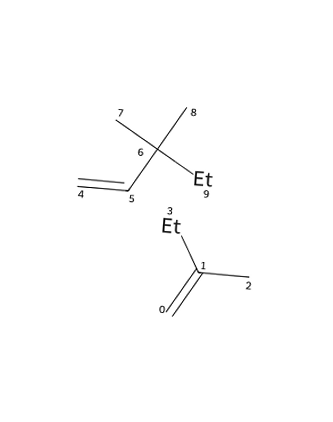 C=C(C)CC.C=CC(C)(C)CC